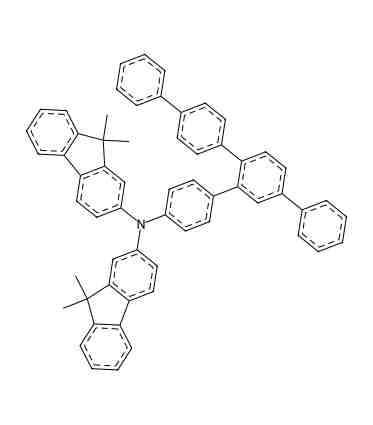 CC1(C)c2ccccc2-c2ccc(N(c3ccc(-c4cc(-c5ccccc5)ccc4-c4ccc(-c5ccccc5)cc4)cc3)c3ccc4c(c3)C(C)(C)c3ccccc3-4)cc21